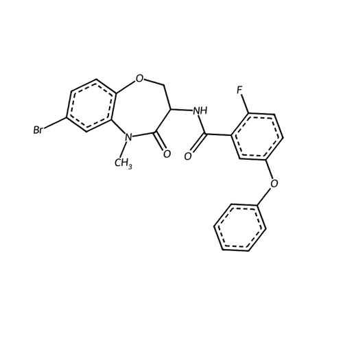 CN1C(=O)C(NC(=O)c2cc(Oc3ccccc3)ccc2F)COc2ccc(Br)cc21